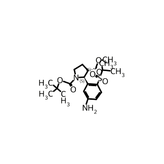 COC(=O)[C@H]1CCN(C(=O)OC(C)(C)C)[C@@H]1c1cc(N)ccc1S(=O)(=O)C(C)C